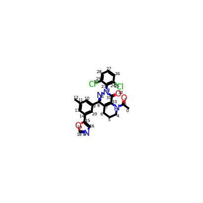 CC(=O)N1CCCc2c(-c3cc(C)cc(-c4cnco4)c3)nn(-c3c(Cl)cccc3Cl)c(=O)c21